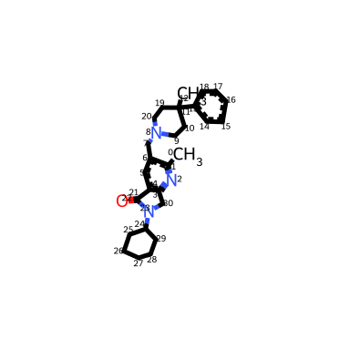 Cc1nc2c(cc1CN1CCC(C)(c3ccccc3)CC1)C(=O)N(C1CCCCC1)C2